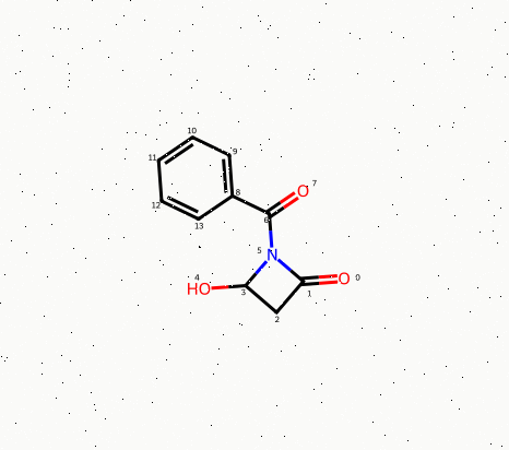 O=C1CC(O)N1C(=O)c1ccccc1